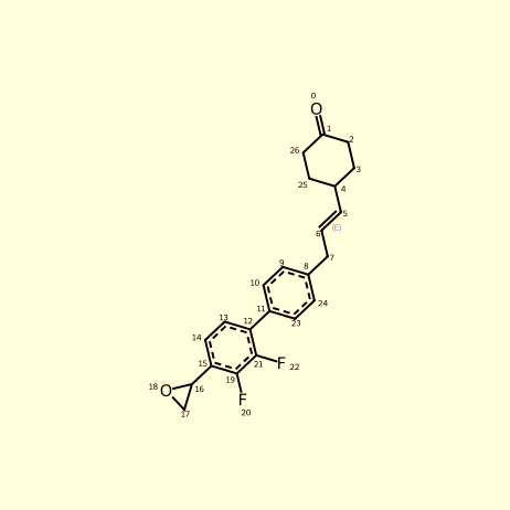 O=C1CCC(/C=C/Cc2ccc(-c3ccc(C4CO4)c(F)c3F)cc2)CC1